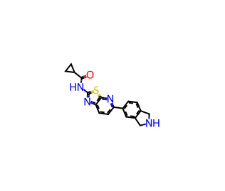 O=C(Nc1nc2ccc(-c3ccc4c(c3)CNC4)nc2s1)C1CC1